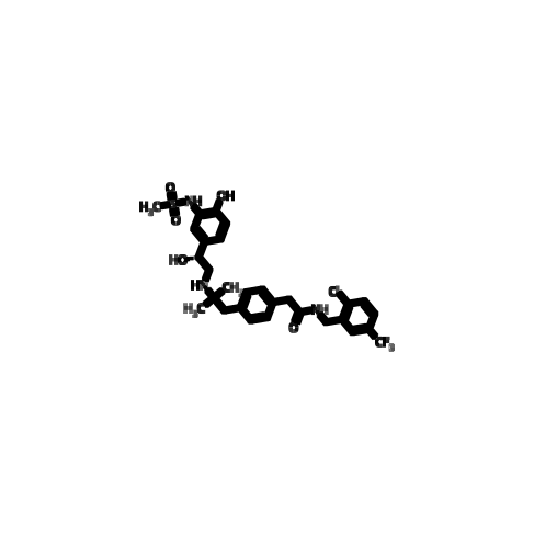 CC(C)(Cc1ccc(CC(=O)NCc2cc(C(F)(F)F)ccc2Cl)cc1)NC[C@H](O)c1ccc(O)c(NS(C)(=O)=O)c1